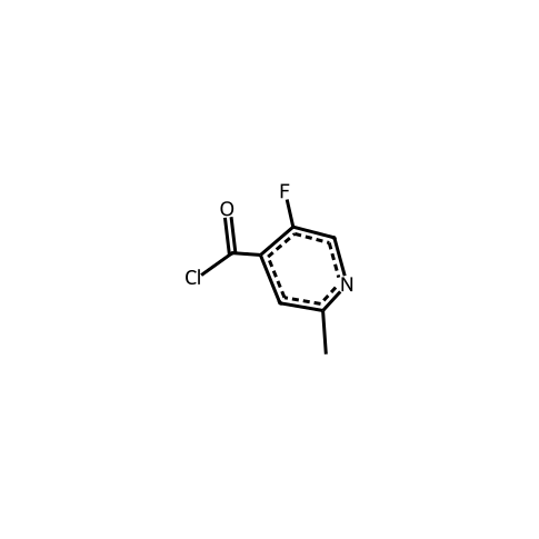 Cc1cc(C(=O)Cl)c(F)cn1